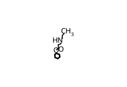 CCCCNCCC(=O)Oc1ccccc1